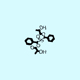 CC(O)C(=O)OC(SSC(OC(=O)C(C)O)c1ccccc1)c1ccccc1